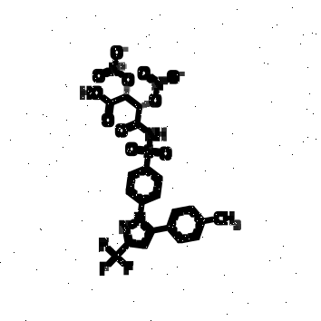 Cc1ccc(-c2cc(C(F)(F)F)nn2-c2ccc(S(=O)(=O)NC(=O)[C@@H](O[N+](=O)[O-])[C@@H](O[N+](=O)[O-])C(=O)O)cc2)cc1